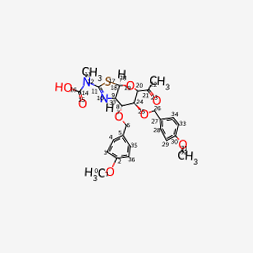 COc1ccc(CO[C@@H]2[C@H]3N=C(N(C)C(=O)O)S[C@H]3OC(C(C)=O)[C@H]2OCc2ccc(OC)cc2)cc1